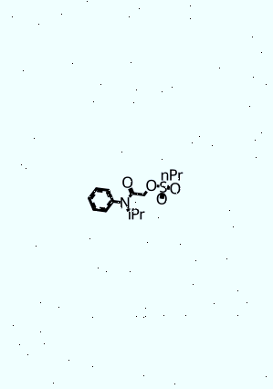 CCCS(=O)(=O)OCC(=O)N(c1ccccc1)C(C)C